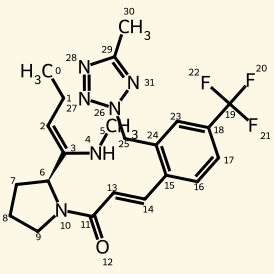 CC/C=C(\NC)[C@@H]1CCCN1C(=O)/C=C/c1ccc(C(F)(F)F)cc1Cn1nnc(C)n1